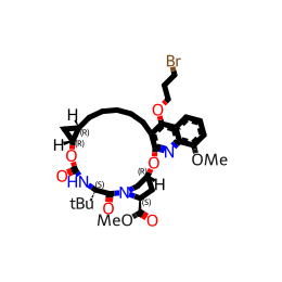 COC(=O)[C@@H]1C[C@@H]2CN1C(=O)[C@H](C(C)(C)C)NC(=O)O[C@@H]1C[C@H]1CCCCCc1c(nc3c(OC)cccc3c1OCCCBr)O2